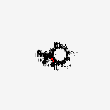 CCCCCc1ccc(/C(C)=C/C(=O)NC(Cc2c[nH]c3ccccc23)C(=O)N[C@H](CC(N)=O)C(=O)N[C@@H](CC(=O)O)C(=O)N[C@@H]2C(=O)NCC(=O)N[C@@H](CCCN)C(=O)N[C@@H](CC(=O)O)C(=O)N[C@H](C)C(=O)N[C@@H](CC(=O)O)C(=O)NCC(=O)N[C@H](CO)C(=O)NC([C@H](C)CC(=O)O)C(=O)N[C@@H](CC(=O)c3ccccc3N)C(=O)O[C@@H]2C)cc1